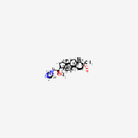 C[C@]1(O)CC[C@H]2[C@H](CC[C@@H]3[C@@H]2CC[C@]2(C)[C@@H](C(=O)Cn4ccnc4)CC[C@@H]32)C1